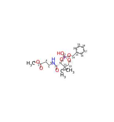 COC(=O)CCNC(=O)[C@@H]1O[P](O)(OCc2ccccc2)OCC1(C)C